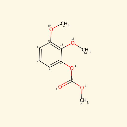 COC(=O)Oc1cc[c]c(OC)c1OC